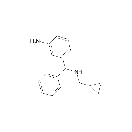 Nc1cccc(C(NCC2CC2)c2ccccc2)c1